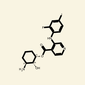 N[C@H]1CCC[C@H](OC(=O)c2ccncc2Nc2ccc(I)cc2F)[C@@H]1O